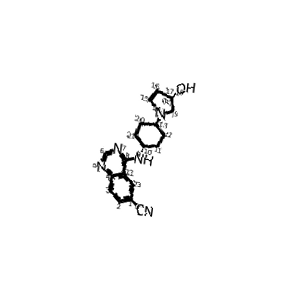 N#Cc1ccc2ncnc(N[C@H]3CC[C@H](N4CC[C@@H](O)C4)CC3)c2c1